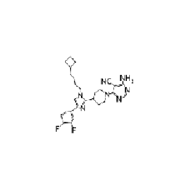 N#Cc1c(N)ncnc1N1CCC(c2nc(-c3ccc(F)c(F)c3)cn2CCCCC2CCC2)CC1